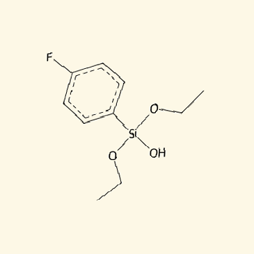 CCO[Si](O)(OCC)c1ccc(F)cc1